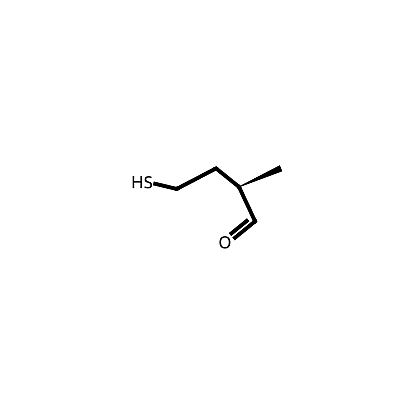 C[C@@H](C=O)CCS